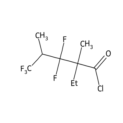 CCC(C)(C(=O)Cl)C(F)(F)C(C)C(F)(F)F